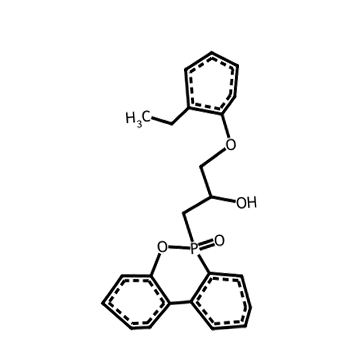 CCc1ccccc1OCC(O)CP1(=O)Oc2ccccc2-c2ccccc21